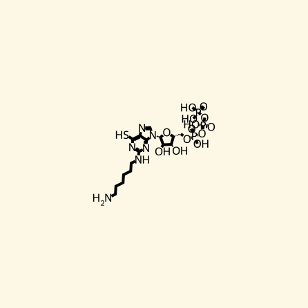 NCCCCCCNc1nc(S)c2ncn([C@@H]3O[C@H](COP(=O)(O)OP(=O)(O)OP(=O)(O)O)[C@H](O)C3O)c2n1